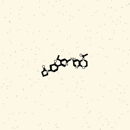 CC(=O)N1CCOc2ncc(Nc3cc4c(cn3)-c3ccc(N5CCCC5=O)cc3OC4C)cc21